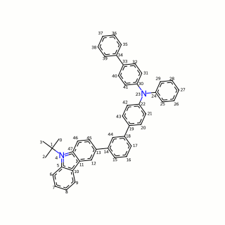 CC(C)(C)n1c2ccccc2c2cc(-c3cccc(-c4ccc(N(c5ccccc5)c5ccc(-c6ccccc6)cc5)cc4)c3)ccc21